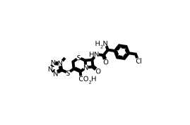 Cn1nnnc1SC1=C(C(=O)O)N2C(=O)C(NC(=O)C(N)c3ccc(CCl)cc3)C2SC1